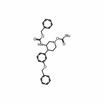 CC(C)(C)C(=O)ON1CCC(c2cccc(OCc3ccccc3)c2)C(NC(=O)OCc2ccccc2)C1